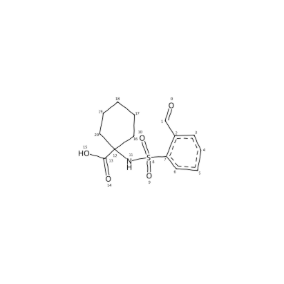 O=Cc1ccccc1S(=O)(=O)NC1(C(=O)O)CCCCC1